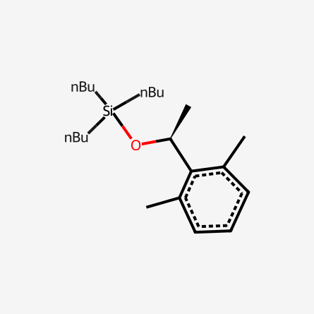 CCCC[Si](CCCC)(CCCC)O[C@@H](C)c1c(C)cccc1C